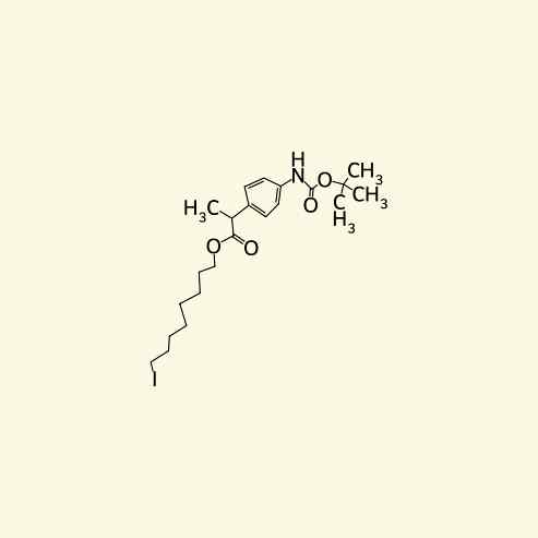 CC(C(=O)OCCCCCCCCI)c1ccc(NC(=O)OC(C)(C)C)cc1